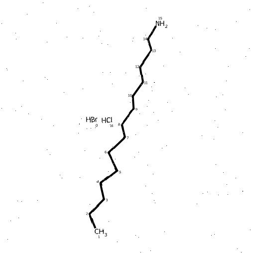 Br.CCCCCCCCCCCCCCN.Cl